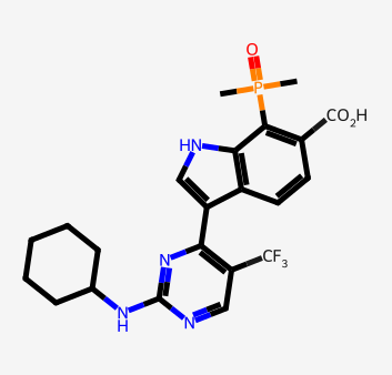 CP(C)(=O)c1c(C(=O)O)ccc2c(-c3nc(NC4CCCCC4)ncc3C(F)(F)F)c[nH]c12